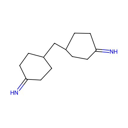 N=C1CCC(CC2CCC(=N)CC2)CC1